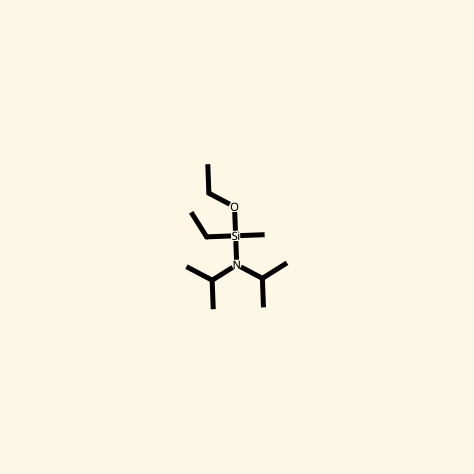 CCO[Si](C)(CC)N(C(C)C)C(C)C